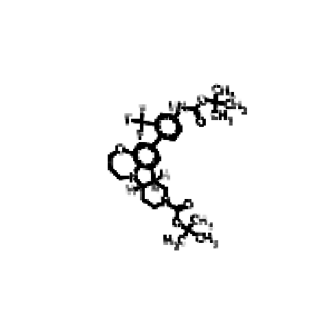 CC(C)(C)OC(=O)Nc1ccc(-c2cc3c4c(c2)[C@@H]2CN(C(=O)OC(C)(C)C)CC[C@@H]2N4CCCO3)c(C(F)(F)F)c1